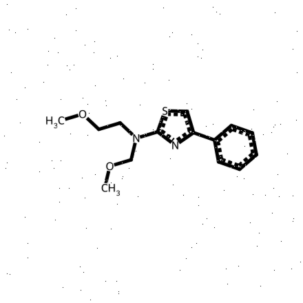 COCCN(COC)c1nc(-c2ccccc2)cs1